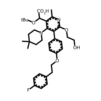 Cc1nc(OCCO)c(-c2ccc(OCCc3ccc(F)cc3)cc2)c(N2CCC(C)(C)CC2)c1C(OC(C)(C)C)C(=O)O